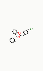 O=C(Cc1ccc(CCl)cc1)OC(c1ccccc1)c1ccccc1